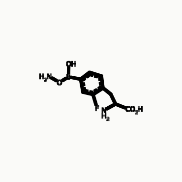 NOB(O)c1ccc(CC(N)C(=O)O)c(F)c1